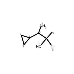 CC(Cl)(C#N)C(N)C1CC1